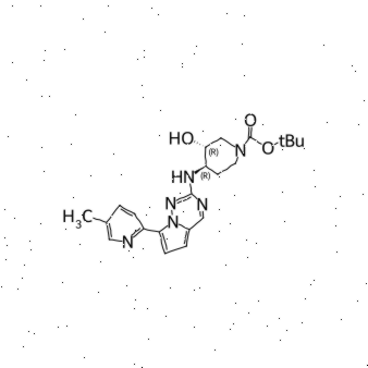 Cc1ccc(-c2ccc3cnc(N[C@@H]4CCN(C(=O)OC(C)(C)C)C[C@H]4O)nn23)nc1